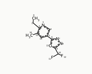 CCc1ncc(-c2nnc(C(F)F)o2)cc1C